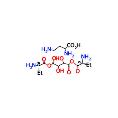 CC[C@H](N)C(=O)OC(=O)C(O)C(O)C(=O)OC(=O)[C@@H](N)CC.NCCC(N)C(=O)O